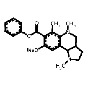 COc1cc2c(c(C)c1C(=O)Oc1ccccc1)N(C)CC1CCN(C)C21